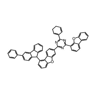 C1=CC(c2nc(-c3ccc4c(c3)oc3cccc(C5c6ccccc6-c6cc(-c7ccccc7)ccc65)c34)nc(-c3cccc4c3oc3ccccc34)n2)=CCC1